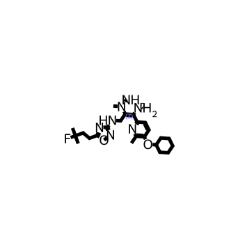 Cc1nc(/C(N)=C(\CNc2noc(CCC(C)(C)F)n2)N(C)N)ccc1OC1CCCCC1